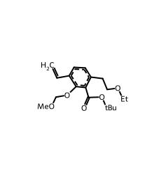 C=Cc1ccc(CCOCC)c(C(=O)OC(C)(C)C)c1OCOC